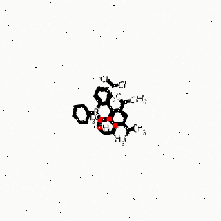 CC(C)c1cc(C(C)C)c(-c2ccccc2P(C2CCCCC2)C2CCCCC2)c(C(C)C)c1.ClCCl